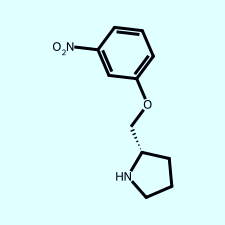 O=[N+]([O-])c1cccc(OC[C@@H]2CCCN2)c1